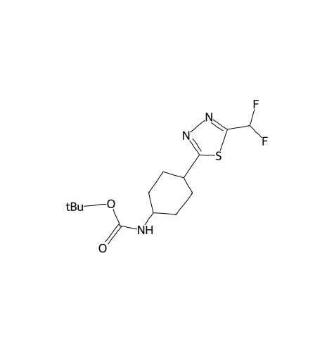 CC(C)(C)OC(=O)NC1CCC(c2nnc(C(F)F)s2)CC1